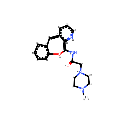 CN1CCN(CC(=O)NC2=c3ncccc3=Cc3ccccc3O2)CC1